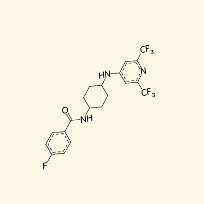 O=C(NC1CCC(Nc2cc(C(F)(F)F)nc(C(F)(F)F)c2)CC1)c1ccc(F)cc1